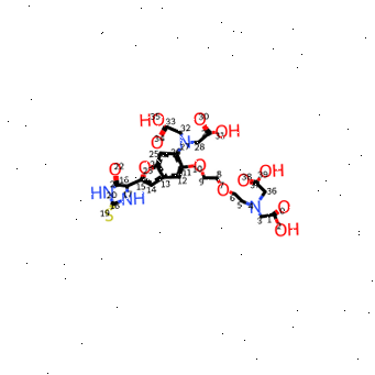 O=C(O)CN(CCOCCOc1cc2cc(C3NC(=S)NC3=O)oc2cc1N(CC(=O)O)CC(=O)O)CC(=O)O